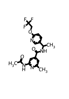 CC(=O)Nc1cc(C(=O)NC(C)c2ccc(OCC(F)(F)F)nc2)cc(C)n1